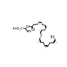 CC/C=C\C/C=C\C/C=C\C/C=C\C/C=C\C/C=C\CCC(=O)OC(C(=O)OCC)C(C)C